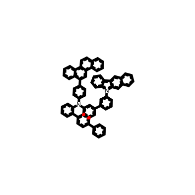 c1ccc(-c2ccc(-c3ccccc3N(c3ccc(-c4cc5c6ccccc6ccc5c5ccccc45)cc3)c3cccc(-c4cccc(-n5c6ccccc6c6cc7ccccc7cc65)c4)c3)cc2)cc1